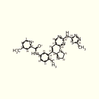 Cc1ccnc(C(=O)Nc2ccc(C)c(C3=Cc4cnc(Nc5nnc(C)s5)nc4N4CCN=C34)c2)c1